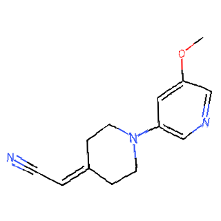 COc1cncc(N2CCC(=CC#N)CC2)c1